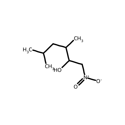 CC(C)CC(C)C(O)C[N+](=O)[O-]